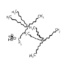 CCCCCCCC[N+](CCCCCCCC)(CCCCCCCC)CCCCCCCC.CCCCCCCC[N+](CCCCCCCC)(CCCCCCCC)CCCCCCCC.O=P([O-])([O-])[O-].[H+]